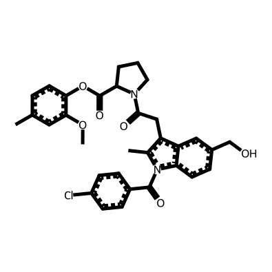 COc1cc(C)ccc1OC(=O)C1CCCN1C(=O)Cc1c(C)n(C(=O)c2ccc(Cl)cc2)c2ccc(CO)cc12